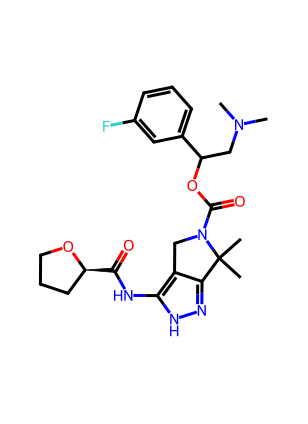 CN(C)CC(OC(=O)N1Cc2c(n[nH]c2NC(=O)[C@H]2CCCO2)C1(C)C)c1cccc(F)c1